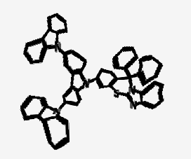 c1ccc(C2(c3ccccc3)c3ccc(-n4c5ccc(-n6c7ccccc7c7ccccc76)cc5c5cc(-n6c7ccccc7c7ccccc76)ccc54)cc3Sc3nc4ccccc4n32)cc1